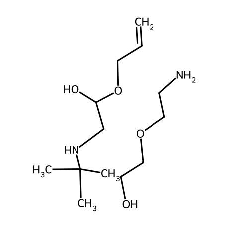 C=CCOC(O)CNC(C)(C)C.NCCOCCO